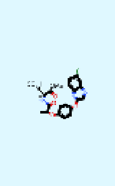 COC(=O)[C@H](CC(=O)O)NC(=O)C(C)Oc1ccc(Oc2cnc3cc(Cl)ccc3n2)cc1